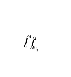 [AlH2][Cl].[Cl][Pd]